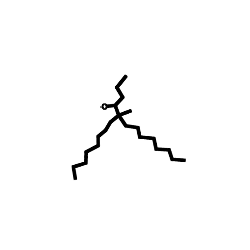 CCCCCCCCC(C)(CCCCCCCC)C([O])CCC